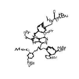 CCCSc1nc2c(N(Cc3ccc(OC)cc3OC)Cc3ccc(OC)cc3OC)nnc(OC(C)C)c2n1Cc1ccc(CNC(=O)OC(C)(C)C)cc1